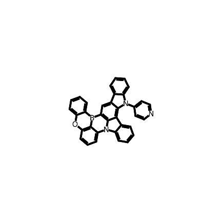 c1ccc2c(c1)Oc1cccc3c1B2c1cc2c4ccccc4n(-c4ccncc4)c2c2c4ccccc4n-3c12